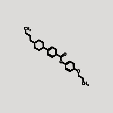 CCCCC1CCC(c2ccc(C(=O)Oc3ccc(OCCC)cc3)cc2)CC1